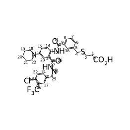 O=C(O)CCSCc1cccc(C(=O)Nc2ccc(N3CCCCC3)cc2C(=O)N/N=C\c2ccc(Cl)c(C(F)(F)F)c2)c1